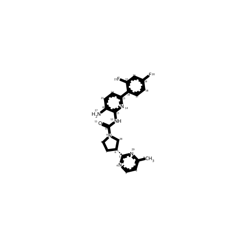 Cc1ccnc([C@@H]2CCN(C(=O)Nc3nc(-c4ccc(F)cc4F)ccc3N)C2)n1